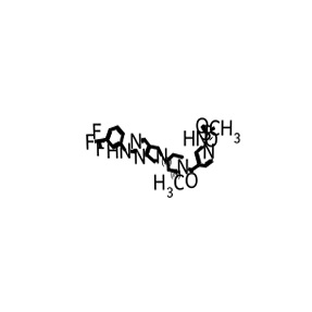 C[C@@H]1C[C@@H](N2Cc3cnc(Nc4cccc(C(F)(F)F)c4)nc3C2)CCN1C(=O)c1ccnc(NS(C)(=O)=O)c1